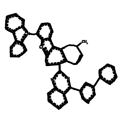 CC1C=Cc2c(-c3nc(-c4cccc(-c5ccccc5)c4)c4ccccc4n3)cc3oc4c(-n5c6ccccc6c6ccccc65)cccc4c3c2C1